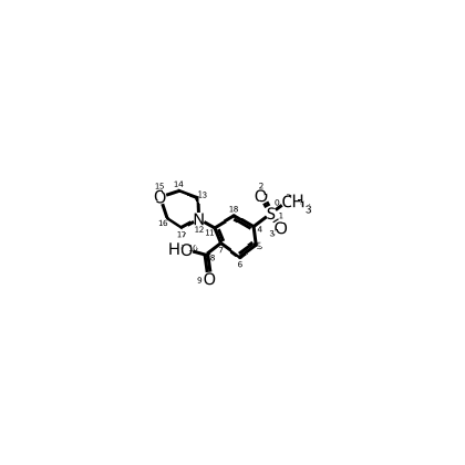 CS(=O)(=O)c1ccc(C(=O)O)c(N2CCOCC2)c1